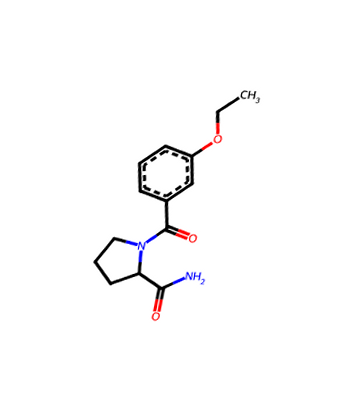 CCOc1cccc(C(=O)N2CCCC2C(N)=O)c1